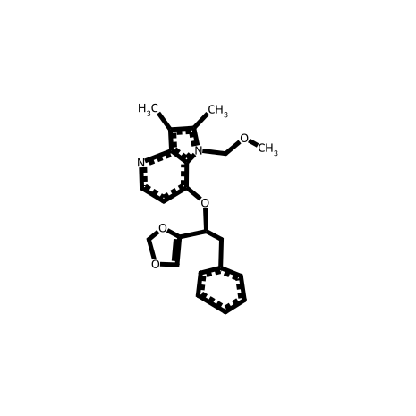 COCn1c(C)c(C)c2nccc(OC(Cc3ccccc3)C3=COCO3)c21